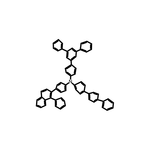 c1ccc(-c2ccc(-c3ccc(N(c4ccc(-c5cc(-c6ccccc6)cc(-c6ccccc6)c5)cc4)c4ccc(-c5ccc6ccccc6c5-c5ccccc5)cc4)cc3)cc2)cc1